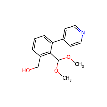 COC(OC)c1c(CO)cccc1-c1ccncc1